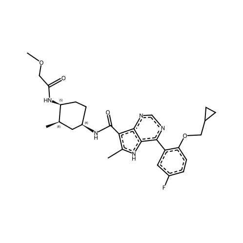 COCC(=O)N[C@H]1CC[C@@H](NC(=O)c2c(C)[nH]c3c(-c4cc(F)ccc4OCC4CC4)ncnc23)C[C@H]1C